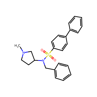 CN1CCC(N(Cc2ccccc2)S(=O)(=O)c2ccc(-c3ccccc3)cc2)C1